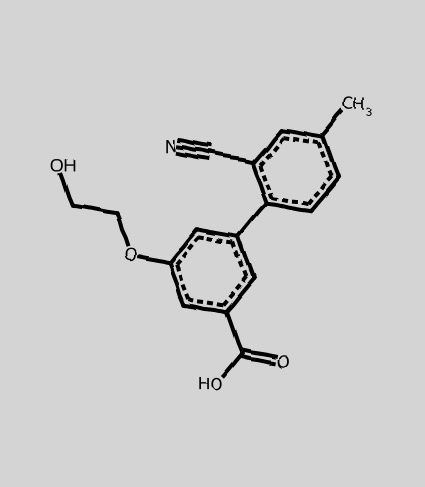 Cc1ccc(-c2cc(OCCO)cc(C(=O)O)c2)c(C#N)c1